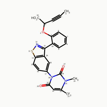 CC#CC(Oc1ccccc1-c1nsc2ccc(-n3c(=O)cc(C(F)(F)F)n(C)c3=O)cc12)C(=O)O